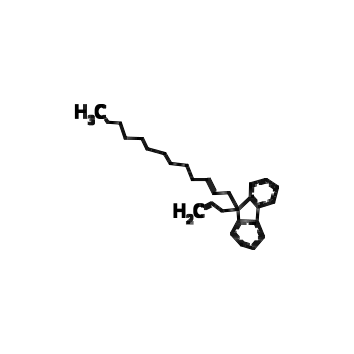 C=CCC1(CC=CCCCCCCCCCC)c2ccccc2-c2ccccc21